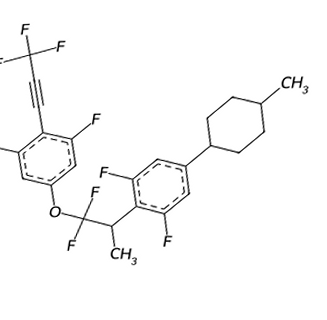 CC1CCC(c2cc(F)c(C(C)C(F)(F)Oc3cc(F)c(C#CC(F)(F)F)c(F)c3)c(F)c2)CC1